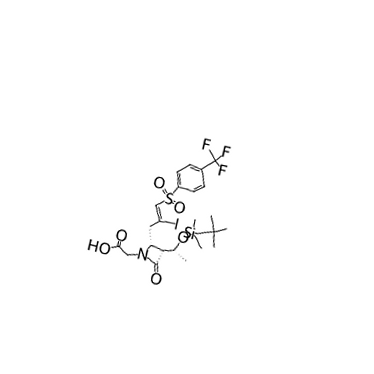 C[C@@H](O[Si](C)(C)C(C)(C)C)[C@@H]1C(=O)N(CC(=O)O)[C@@H]1C/C(I)=C/S(=O)(=O)c1ccc(C(F)(F)F)cc1